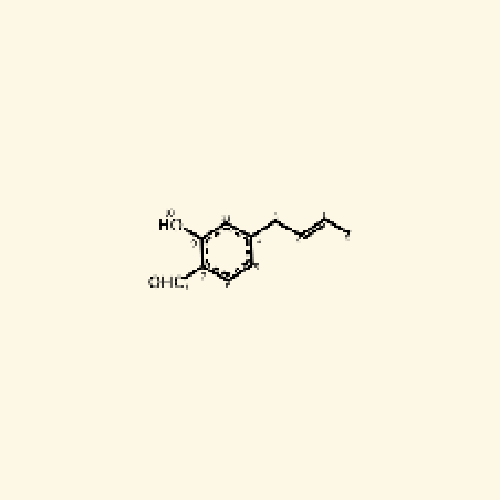 CC=CCc1ccc(C=O)c(O)c1